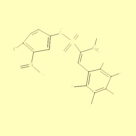 O=[N+]([O-])/C(=C\c1c(F)c(F)c(F)c(F)c1F)S(=O)(=O)Nc1ccc(F)c([N+](=O)[O-])c1